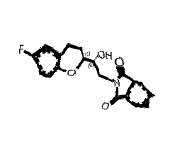 O=C1c2ccccc2C(=O)N1C[C@@H](O)[C@@H]1CCc2cc(F)ccc2O1